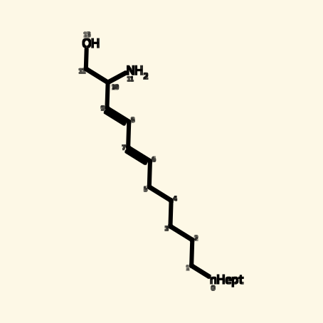 CCCCCCCCCCCCC=CC=CC(N)CO